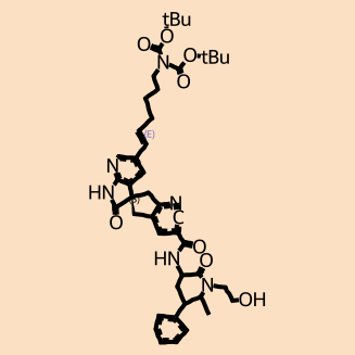 CC1C(c2ccccc2)CC(NC(=O)c2cnc3c(c2)C[C@@]2(C3)C(=O)Nc3ncc(/C=C/CCCCN(C(=O)OC(C)(C)C)C(=O)OC(C)(C)C)cc32)C(=O)N1CCO